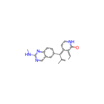 C=C(C)/C(c1ccc2nc(NC)ncc2c1)=c1/cc[nH]c(=O)/c1=C/C